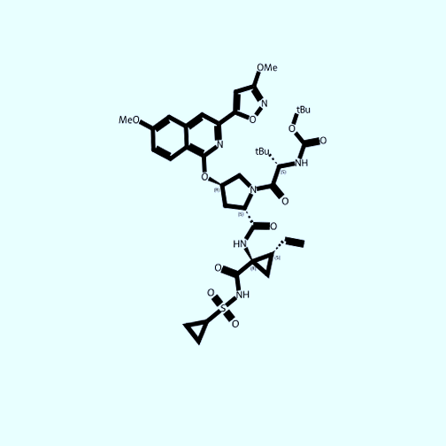 C=C[C@@H]1C[C@]1(NC(=O)[C@@H]1C[C@@H](Oc2nc(-c3cc(OC)no3)cc3cc(OC)ccc23)CN1C(=O)[C@@H](NC(=O)OC(C)(C)C)C(C)(C)C)C(=O)NS(=O)(=O)C1CC1